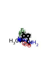 Cn1cc(C(=O)NC(Cc2ccccc2)C(=O)C(N)=O)c(-c2cccc(C(F)(F)F)c2F)n1